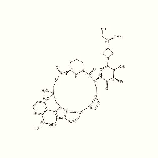 CCn1c(-c2cccnc2[C@H](C)OC)c2c3cc(ccc31)-c1csc(n1)C[C@H](NC(=O)[C@H](C(C)C)N(C)C(=O)N1CC([C@@H](CO)OC)C1)C(=O)N1CCC[C@H](N1)C(=O)OCC(C)(C)C2